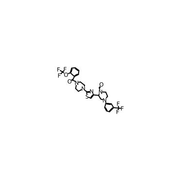 O=CN1CCN(c2cccc(C(F)(F)F)c2)CC1c1csc(N2CCN(C(=O)c3ccccc3OC(F)(F)F)CC2)n1